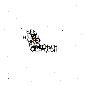 CC(C)(O)CN1CC2ON([C@H]3[C@@H](C(=O)Nc4ccc(F)c(C(F)(F)F)c4)[C@H]4CC[C@@H]3/C4=C\C3CC3)C(c3ccc4c(c3)CC(C)(C)O4)C2C1